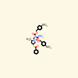 C[C@H]1C[C@H](SC(=O)c2ccccc2)C[N+]1(CN(C(N)=O)C(=O)OCc1ccc([N+](=O)[O-])cc1)C(=O)OCc1ccc([N+](=O)[O-])cc1